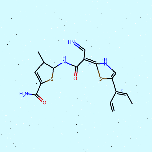 C=C/C(=C\C)C1=CN/C(=C(\C=N)C(=O)NC2SC(C(N)=O)=CC2C)S1